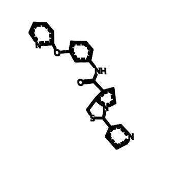 O=C(Nc1cccc(Oc2ccccn2)c1)c1ccn2c1CSC2c1cccnc1